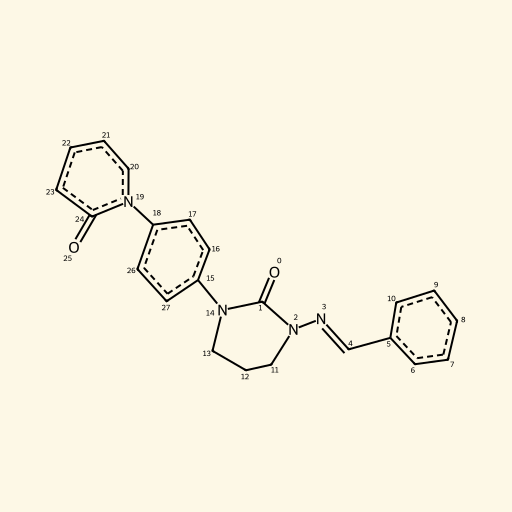 O=C1N(N=Cc2ccccc2)CCCN1c1ccc(-n2ccccc2=O)cc1